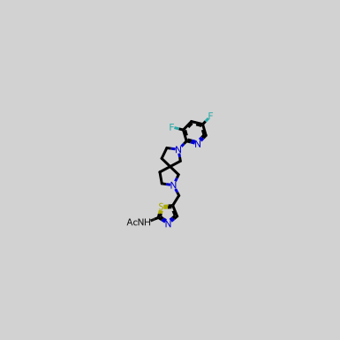 CC(=O)Nc1ncc(CN2CCC3(CCN(c4ncc(F)cc4F)C3)C2)s1